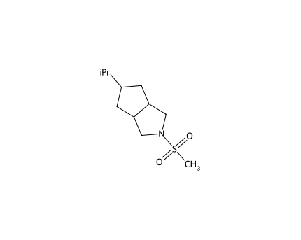 CC(C)C1CC2CN(S(C)(=O)=O)CC2C1